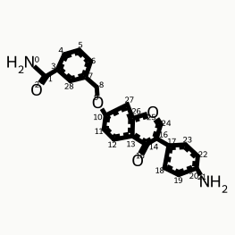 NC(=O)c1cccc(COc2ccc3c(=O)c(-c4ccc(N)cc4)coc3c2)c1